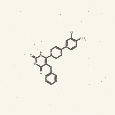 Cc1ccc(C2=CCC(c3[nH]c(=O)[nH]c(=O)c3Cc3ccccc3)CC2)cc1Cl